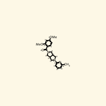 COc1ccc(C(=O)N2CC3CN(c4cccc(C)n4)CC3C2)c(OC)c1